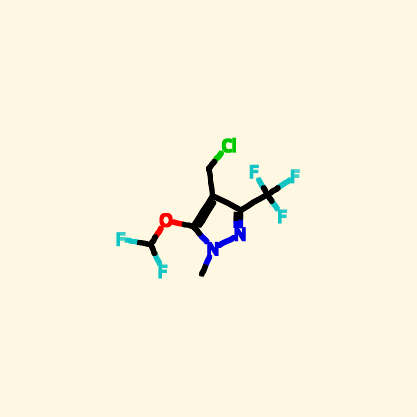 Cn1nc(C(F)(F)F)c(CCl)c1OC(F)F